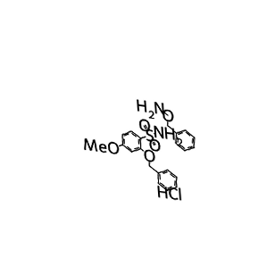 COc1ccc(S(N)(=O)=O)c(OCc2ccccc2)c1.Cl.NOCc1ccccc1